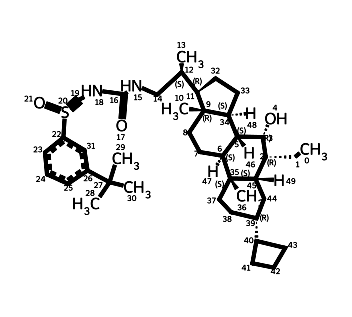 CC[C@H]1[C@@H](O)[C@@H]2[C@H](CC[C@]3(C)[C@@H]([C@H](C)CNC(=O)NC#S(=O)c4cccc(C(C)(C)C)c4)CC[C@@H]23)[C@@]2(C)CC[C@@H](C3CCC3)C[C@@H]12